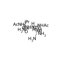 CC(=O)N[C@@H](CONCCC[C@H](NC(=O)[C@H](CC(C)C)NC(C)=O)C(N)=O)C(=O)N[C@@H](CCCCN)C(N)=O